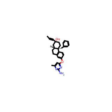 CC#C[C@@]1(O)CC[C@@]2(Cc3ccccc3)c3ccc(Oc4cc(C)nc(N)n4)cc3CC[C@@H]2C1